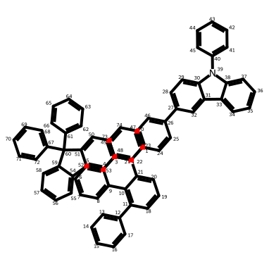 c1ccc(-c2ccccc2-c2c(-c3ccccc3)cccc2N(c2ccc(-c3ccc4c(c3)c3ccccc3n4-c3ccccc3)cc2)c2ccc3c(c2)-c2ccccc2C3(c2ccccc2)c2ccccc2)cc1